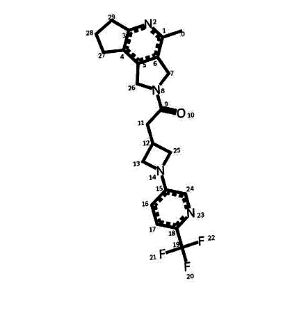 Cc1nc2c(c3c1CN(C(=O)CC1CN(c4ccc(C(F)(F)F)nc4)C1)C3)CCC2